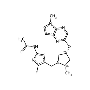 CC(=O)Nc1nc(F)c(CN2C[C@H](Oc3cnc4c(ccn4C)n3)C[C@@H]2C)s1